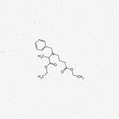 CCOC(=O)CCCN(Cc1ccccc1)C(C)C(=O)OCC